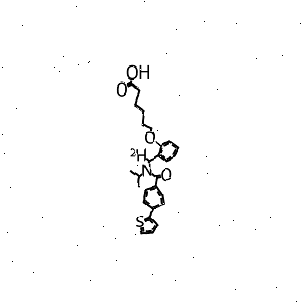 [2H]C(c1ccccc1OCCCCCC(=O)O)N(C(=O)c1ccc(-c2cccs2)cc1)C(C)C